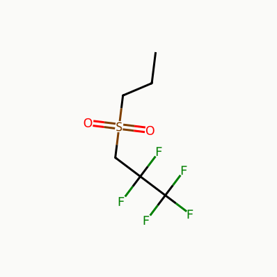 CCCS(=O)(=O)CC(F)(F)C(F)(F)F